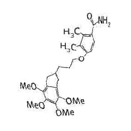 COc1c2c(c(OC)c(OC)c1OC)CC(CCCOc1ccc(C(N)=O)c(C)c1C)C2